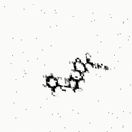 CNC(=O)[C@@H]1CN(Cc2cnc(Oc3ccccc3Cl)nc2)CCO1